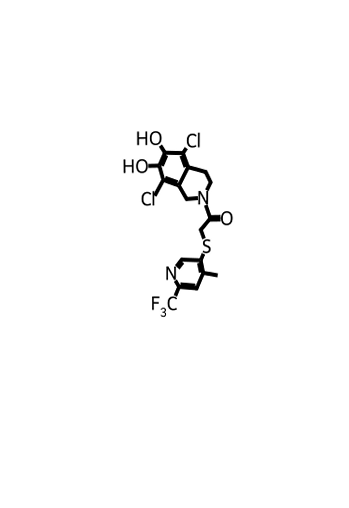 Cc1cc(C(F)(F)F)ncc1SCC(=O)N1CCc2c(Cl)c(O)c(O)c(Cl)c2C1